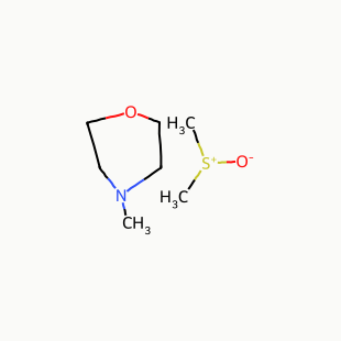 CN1CCOCC1.C[S+](C)[O-]